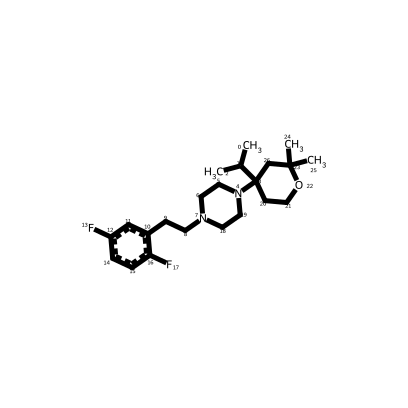 CC(C)C1(N2CCN(CCc3cc(F)ccc3F)CC2)CCOC(C)(C)C1